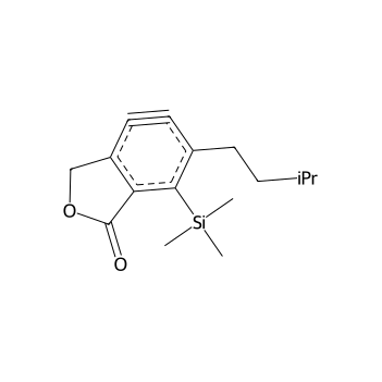 CC(C)CCc1c#cc2c(c1[Si](C)(C)C)C(=O)OC2